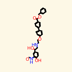 O=CNc1cc(C(O)CNCCOc2ccc(-c3ccc(C(=O)OCc4ccccc4)cc3)cc2)ccc1O